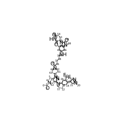 CC(=O)N1CCc2c(c(N3CCCc4cc(-c5cnn(C)c5)c(C(F)F)cc43)nn2C2CCN(C(=O)CCCCNc3ccc4c(c3)n(C)c(=O)n4C3CCC(=O)NC3=O)CC2)C1